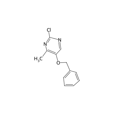 Cc1nc(Cl)ncc1OCc1ccccc1